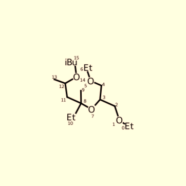 CCOCC(COCC)OC(C)(CC)CC(C)OC(C)CC